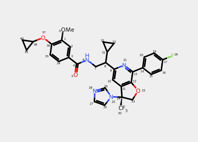 COc1cc(C(=O)NCC(c2cc3c(c(-c4ccc(F)cc4)n2)OC[C@@]3(n2ccnc2)C(F)(F)F)C2CC2)ccc1OC1CC1